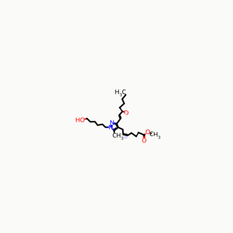 CCCCCC(=O)C=Cc1nn(CCCCCCO)c(C)c1C/C=C\CCCC(=O)OC